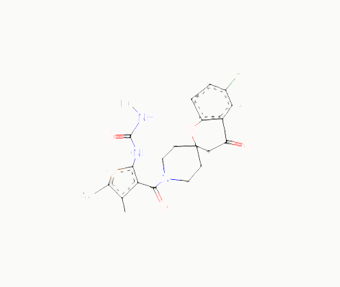 CCNC(=O)Nc1sc(C(C)=O)c(C)c1C(=O)N1CCC2(CC1)CC(=O)c1cc(F)ccc1O2